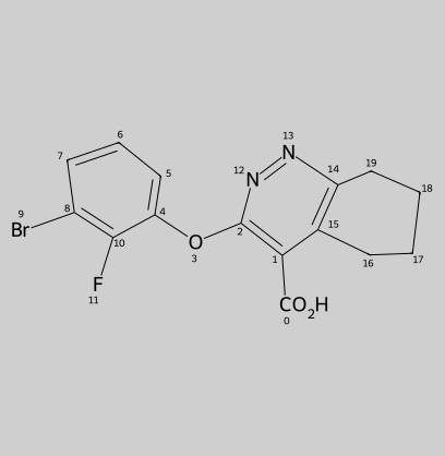 O=C(O)c1c(Oc2cccc(Br)c2F)nnc2c1CCCC2